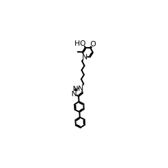 Cc1c(O)c(=O)ccn1CCCCCCn1cc(-c2ccc(-c3ccccc3)cc2)nn1